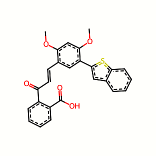 COc1cc(OC)c(-c2cc3ccccc3s2)cc1C=CC(=O)c1ccccc1C(=O)O